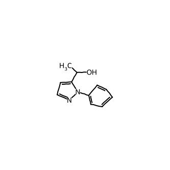 CC(O)c1ccnn1-c1ccccc1